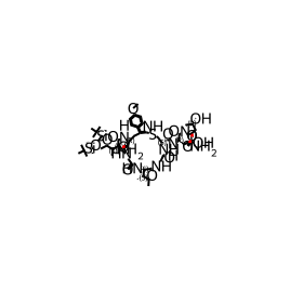 CC[C@H](C)[C@@H]1NC(=O)CNC(=O)[C@H](NC(=O)[C@@H](N)[C@@H](C)C(CO[Si](C)(C)C(C)(C)C)O[Si](C)(C)C(C)(C)C)Cc2c([nH]c3cc(OC)ccc23)SC[C@H](C(=O)N[C@H](CC(N)=O)C(=O)N2C[C@H](O)C[C@H]2C(=O)O)NC(=O)CNC1=O